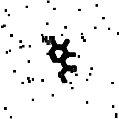 COC(=O)c1ccc(N)c(C)c1C